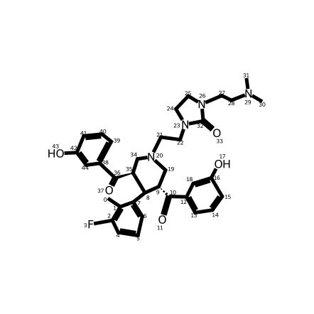 Cc1c(F)cccc1C1[C@@H](C(=O)c2cccc(O)c2)CN(CCN2CCN(CCN(C)C)C2=O)C[C@@H]1C(=O)c1cccc(O)c1